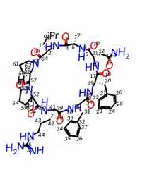 CC(C)C[C@@H]1NC(=O)[C@H](C)NC(=O)[C@H](CC(N)=O)NC(=O)[C@H](Cc2ccccc2)NC(=O)[C@H](Cc2ccccc2)NC(=O)[C@H](CCCNC(=N)N)NC(=O)[C@@H]2CCCN2C(=O)[C@H]2CCCN2C1=O